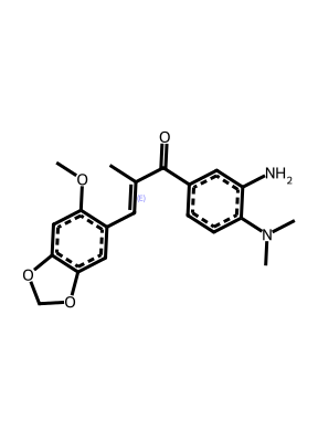 COc1cc2c(cc1/C=C(\C)C(=O)c1ccc(N(C)C)c(N)c1)OCO2